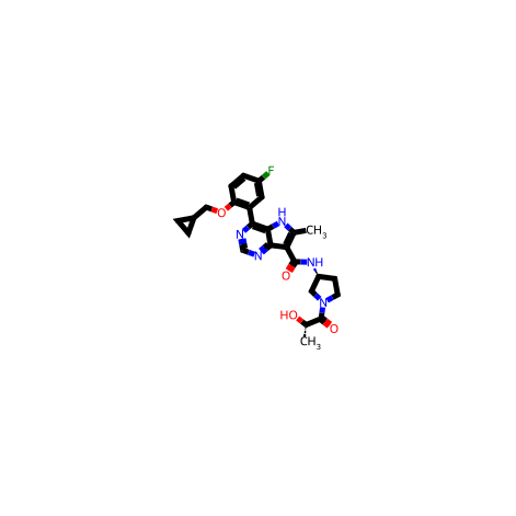 Cc1[nH]c2c(-c3cc(F)ccc3OCC3CC3)ncnc2c1C(=O)N[C@@H]1CCN(C(=O)[C@H](C)O)C1